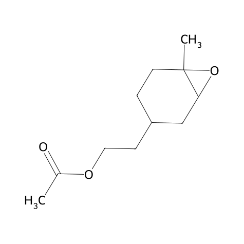 CC(=O)OCCC1CCC2(C)OC2C1